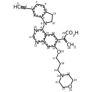 C#Cc1ccc2c(c1)N(c1ncnc3cc(OCCCN4CCOCC4)c(C(=C)C(=O)O)cc13)CC2